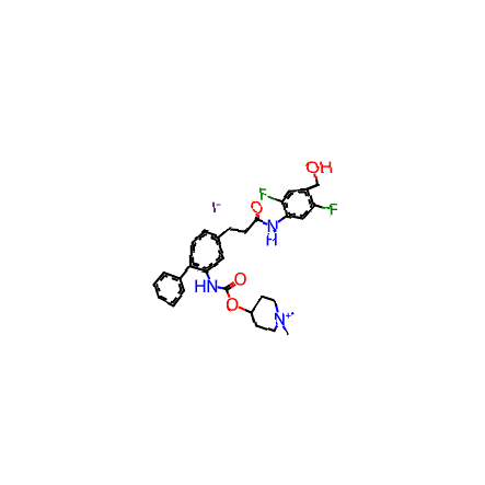 C[N+]1(C)CCC(OC(=O)Nc2cc(CCC(=O)Nc3cc(F)c(CO)cc3F)ccc2-c2ccccc2)CC1.[I-]